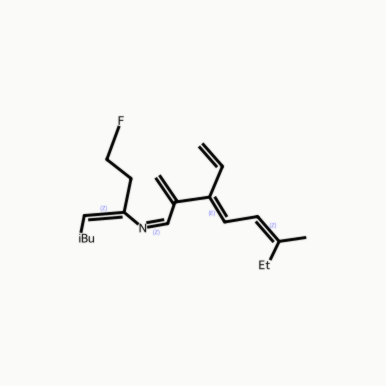 C=C/C(=C\C=C(\C)CC)C(=C)/C=N\C(=C/C(C)CC)CCF